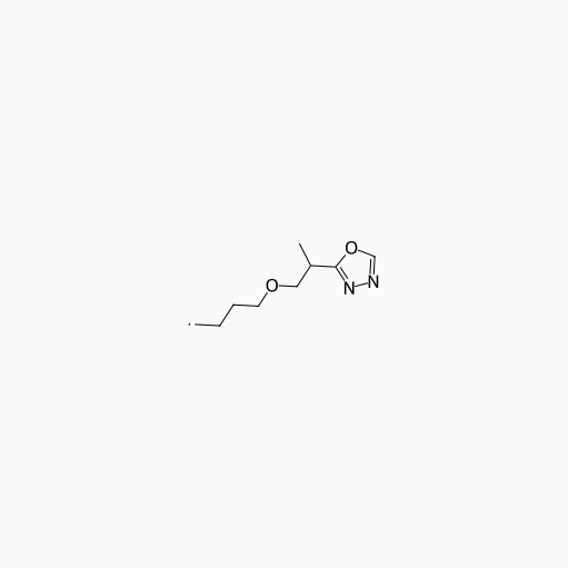 [CH2]CCCOCC(C)c1nnco1